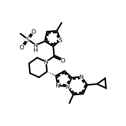 Cc1cc(NS(C)(=O)=O)c(C(=O)N2CCCC[C@H]2c2cc3nc(C4CC4)cc(C)n3n2)s1